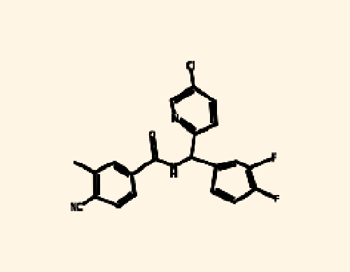 Cc1cc(C(=O)NC(c2ccc(F)c(F)c2)c2ccc(Cl)cn2)ccc1C#N